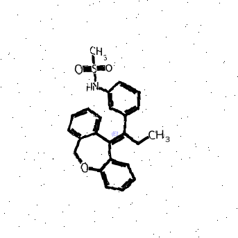 CC/C(=C1/c2ccccc2COc2ccccc21)c1cccc(NS(C)(=O)=O)c1